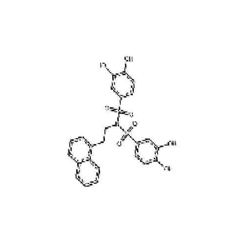 O=S(=O)(c1ccc(O)c(O)c1)N(CCc1cccc2ccccc12)S(=O)(=O)c1ccc(O)c(O)c1